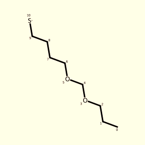 CCCOCOCCCC[S]